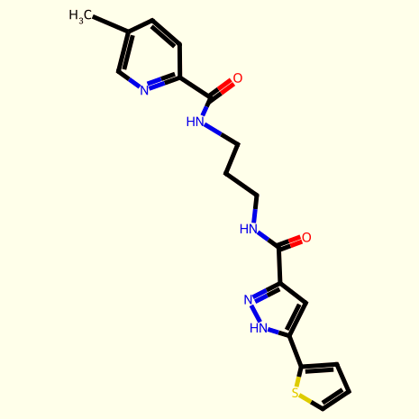 Cc1ccc(C(=O)NCCCNC(=O)c2cc(-c3cccs3)[nH]n2)nc1